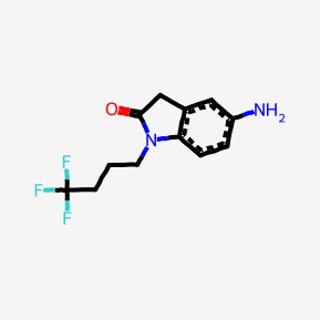 Nc1ccc2c(c1)CC(=O)N2CCCC(F)(F)F